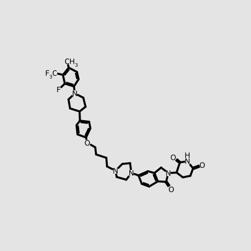 Cc1ccc(N2CCC(c3ccc(OCCCCN4CCN(c5ccc6c(c5)CN(C5CCC(=O)NC5=O)C6=O)CC4)cc3)CC2)c(F)c1C(F)(F)F